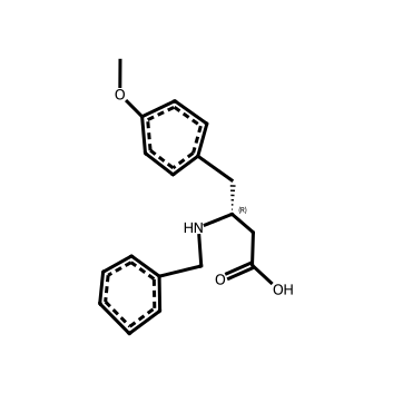 COc1ccc(C[C@H](CC(=O)O)NCc2ccccc2)cc1